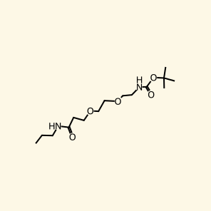 CCCNC(=O)CCOCCOCCNC(=O)OC(C)(C)C